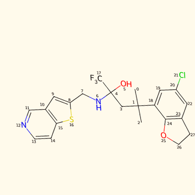 CC(C)(CC(O)(NCc1cc2cnccc2s1)C(F)(F)F)c1cc(Cl)cc2c1OCC2